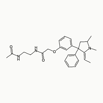 CC=C1N(C)C(C)CC1(c1ccccc1)c1cccc(OCC(=O)NCCNC(C)=O)c1